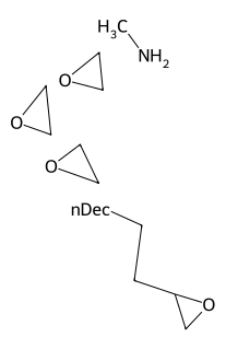 C1CO1.C1CO1.C1CO1.CCCCCCCCCCCCC1CO1.CN